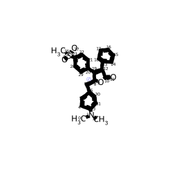 CN(C)c1ccc(/C=C2\OC(=O)C(c3ccccc3)=C2c2ccc(S(C)(=O)=O)cc2)cc1